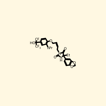 CCCc1cc(C(O)(C(F)(F)F)C(F)(F)F)ccc1OC/C=C\CN1C(=O)NC(CC)(c2ccc3c(c2)OCO3)C1=O